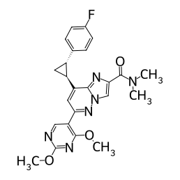 COc1ncc(-c2cc([C@H]3C[C@@H]3c3ccc(F)cc3)c3nc(C(=O)N(C)C)cn3n2)c(OC)n1